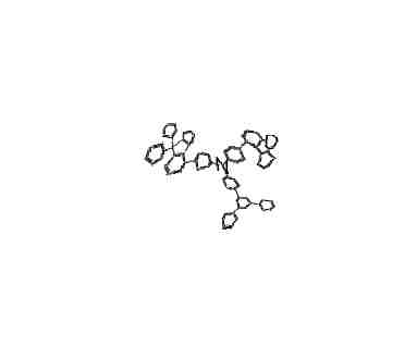 c1ccc(-c2cc(-c3ccccc3)cc(-c3ccc(N(c4ccc(-c5cccc6c5-c5ccccc5C6(c5ccccc5)c5ccccc5)cc4)c4ccc(-c5cccc6oc7ccccc7c56)cc4)cc3)c2)cc1